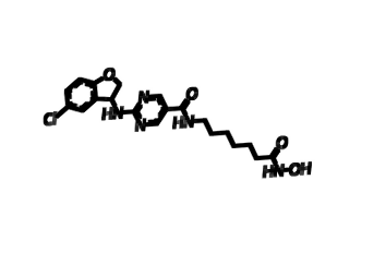 O=C(CCCCCCNC(=O)c1cnc(NC2COc3ccc(Cl)cc32)nc1)NO